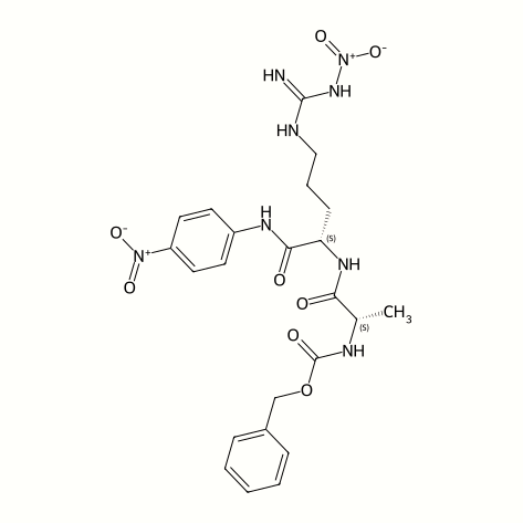 C[C@H](NC(=O)OCc1ccccc1)C(=O)N[C@@H](CCCNC(=N)N[N+](=O)[O-])C(=O)Nc1ccc([N+](=O)[O-])cc1